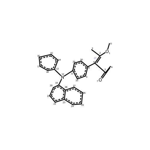 CO/C(C)=C(\C(C)=O)c1ccc(N(c2ccccc2)c2cccc3ccccc23)cc1